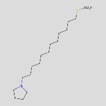 O=S(=O)(O)SCCCCCCCCCCCCN1CCCC1